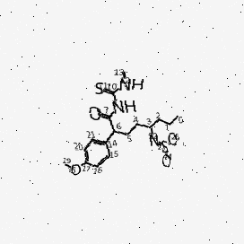 CCCC(CCC(C(=O)NC(=S)NC)c1ccc(OC)cc1)N=S(=O)=O